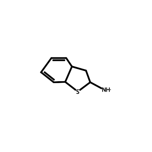 [NH]C1CC2C=CC=CC2S1